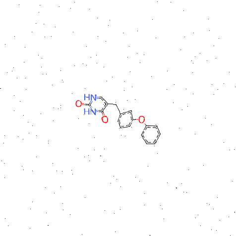 O=c1[nH]cc(Cc2cccc(Oc3ccccc3)c2)c(=O)[nH]1